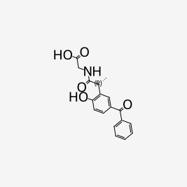 C[C@@H](C(=O)NCC(=O)O)c1cc(C(=O)c2ccccc2)ccc1O